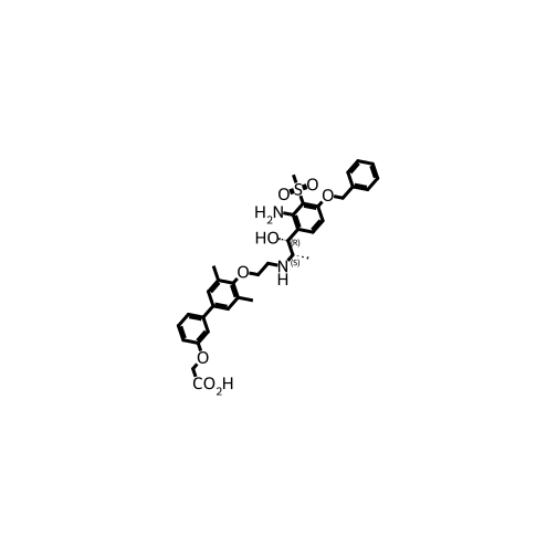 Cc1cc(-c2cccc(OCC(=O)O)c2)cc(C)c1OCCN[C@@H](C)[C@H](O)c1ccc(OCc2ccccc2)c(S(C)(=O)=O)c1N